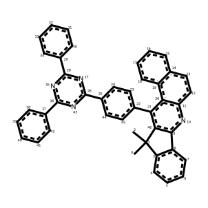 CC1(C)c2ccccc2-c2nc3ccc4ccccc4c3c(-c3ccc(-c4nc(-c5ccccc5)nc(-c5ccccc5)n4)cc3)c21